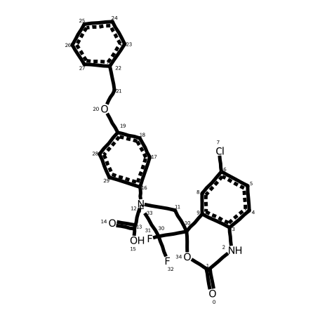 O=C1Nc2ccc(Cl)cc2C(CN(C(=O)O)c2ccc(OCc3ccccc3)cc2)(C(F)(F)F)O1